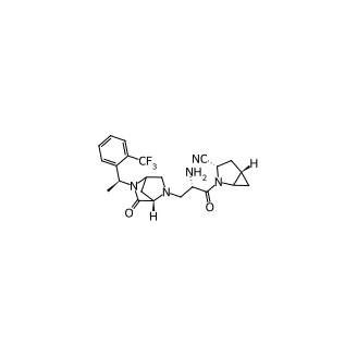 C[C@@H](c1ccccc1C(F)(F)F)N1C(=O)[C@@H]2CC1CN2C[C@H](N)C(=O)N1C2C[C@H]2C[C@H]1C#N